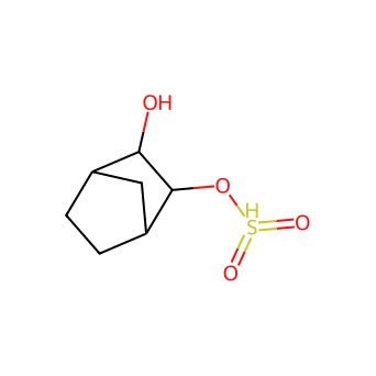 O=[SH](=O)OC1C2CCC(C2)C1O